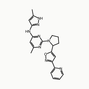 Cc1cc(Nc2cc(C)[nH]n2)nc(N2CCCC2c2cc(-c3ccccn3)no2)n1